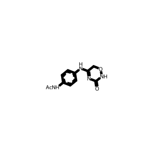 CC(=O)Nc1ccc(NC2=NC(=O)NOC2)cc1